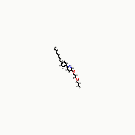 CCCCCCCCc1ccc(-c2ccc(OCCCOCCCC)cn2)cc1